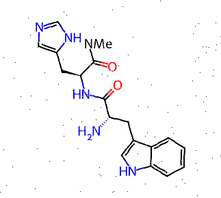 CNC(=O)[C@H](Cc1cnc[nH]1)NC(=O)[C@@H](N)Cc1c[nH]c2ccccc12